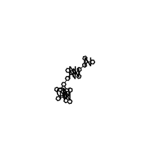 c1ccc(-c2nc(-n3c4ccccc4c4c5cc(-c6ccc(-c7nc(-n8c9ccccc9c9cc(-c%10ccc%11c(c%10)c%10ccccc%10n%11-c%10ccccc%10)ccc98)nc8ccccc78)cc6)ccc5c5c6ccccc6oc5c43)nc3c2ccc2ccccc23)cc1